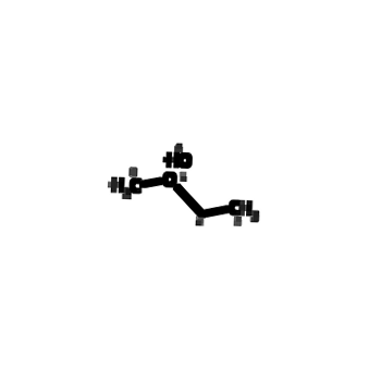 [CH2]OCC.[OH]